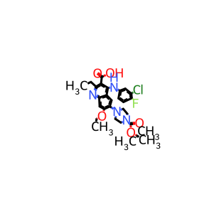 CCOc1cc2nc(CC)c(C(=O)O)c(Nc3ccc(F)c(Cl)c3)c2cc1N1CCN(C(=O)OC(C)(C)C)CC1